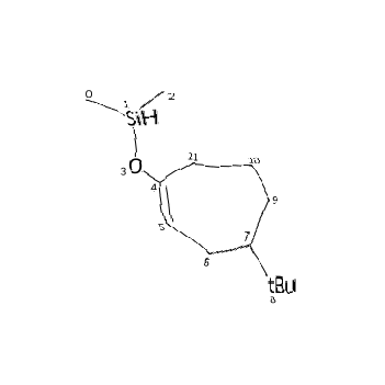 C[SiH](C)OC1=CCC(C(C)(C)C)CCC1